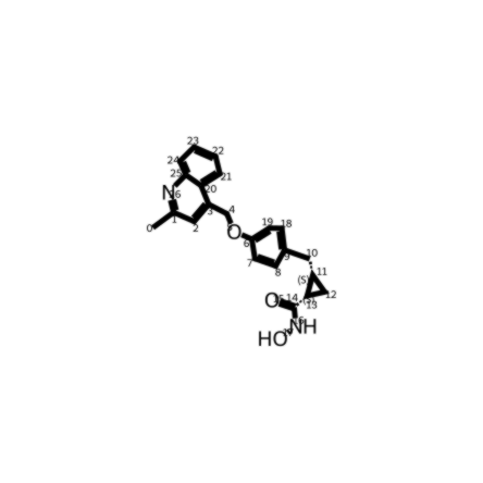 Cc1cc(COc2ccc(C[C@@H]3C[C@@H]3C(=O)NO)cc2)c2ccccc2n1